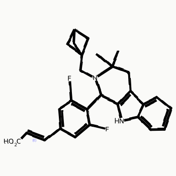 CC1(C)Cc2c([nH]c3ccccc23)C(c2c(F)cc(/C=C/C(=O)O)cc2F)N1CC12CC(C1)C2